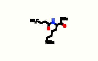 COC(=O)C(CCCCNC(C)=O)NC(=O)CCC(=O)O